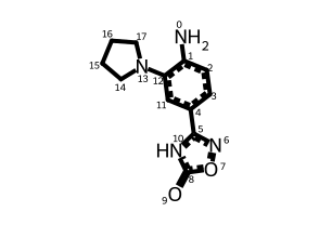 Nc1ccc(-c2noc(=O)[nH]2)cc1N1CCCC1